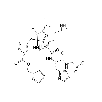 CC(C)(C)OC(=O)[C@@](Cc1cn(C(=O)OCc2ccccc2)cn1)(NN[C@@H](CCCCN)C(=O)N[C@@H](Cc1c[nH]cn1)C(=O)NCC(=O)O)C(=O)O